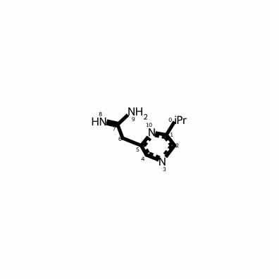 CC(C)c1cncc(CC(=N)N)n1